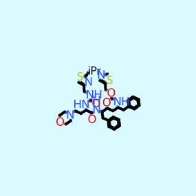 CC(C)c1nc(CNC(=O)NC(CCN2CCOCC2)C(=O)NC(CCC(Cc2ccccc2)NC(=O)OCc2cncs2)Cc2ccccc2)cs1